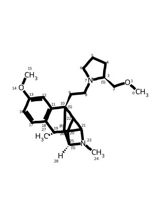 COC[C@@H]1CCCN1CC[C@@]12c3cc(OC)ccc3CC34C(C31)N(C)[C@H]4[C@@H]2C